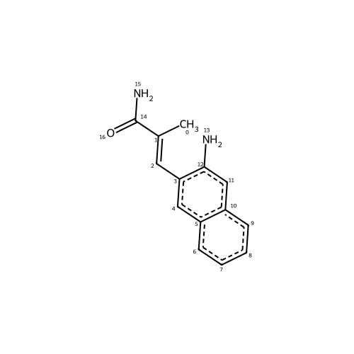 CC(=Cc1cc2ccccc2cc1N)C(N)=O